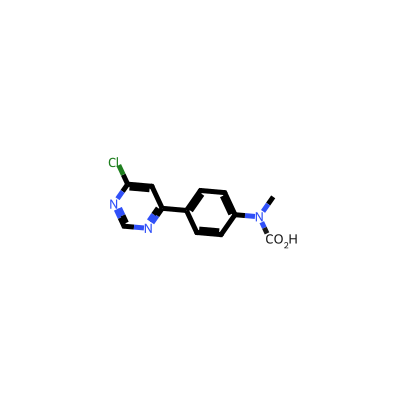 CN(C(=O)O)c1ccc(-c2cc(Cl)ncn2)cc1